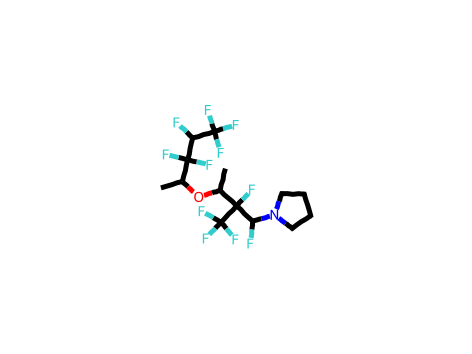 CC(OC(C)C(F)(C(F)N1CCCC1)C(F)(F)F)C(F)(F)C(F)C(F)(F)F